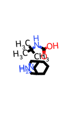 CC(C)(C)NC(=O)O.NC1C2CCCC1CNC2